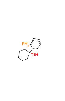 OC1(c2cc[c]cc2)CCCCC1.P